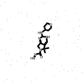 CC1(C)C2=CNC(NC3CCOCC3)N=C2CN1C(=O)N=N